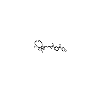 CCc1nn(CCCOC(=O)c2cccc(C(=O)N3CCOCC3)c2)c2c1C(=O)NCCCOCCC2